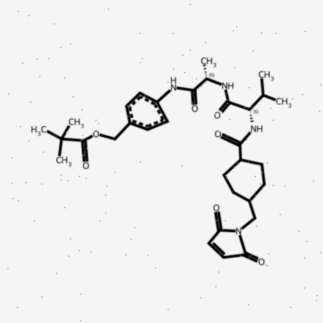 CC(C)[C@H](NC(=O)C1CCC(CN2C(=O)C=CC2=O)CC1)C(=O)N[C@@H](C)C(=O)Nc1ccc(COC(=O)C(C)(C)C)cc1